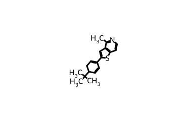 Cc1nccc2sc(C3=CCC(C(C)(C)C)C=C3)cc12